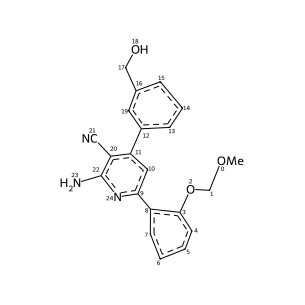 COCOc1ccccc1-c1cc(-c2cccc(CO)c2)c(C#N)c(N)n1